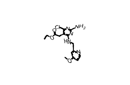 CCOC(=O)Cc1c(Cl)nc(N)nc1NCc1cc(OC)ccn1